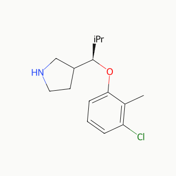 Cc1c(Cl)cccc1O[C@H](C(C)C)C1CCNC1